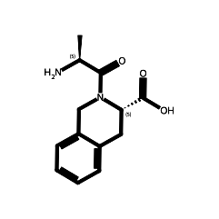 C[C@H](N)C(=O)N1Cc2ccccc2C[C@H]1C(=O)O